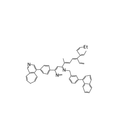 C=CC(=C\C=C(/C)C(/C=C(\N=C)c1ccc(-c2cncc3c2C=CCC=C3)cc1)=NCc1cccc(-c2cccc3ccccc23)c1)/C(/C=C\CC)=C/C